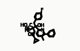 Cc1ccc(C(O)(Cc2ccc(F)cc2)C(C=CC2CC2)(C(=O)O)[PH](=O)O)nc1-c1ccccc1